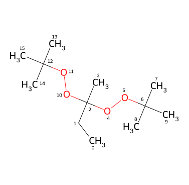 CCC(C)(OOC(C)(C)C)OOC(C)(C)C